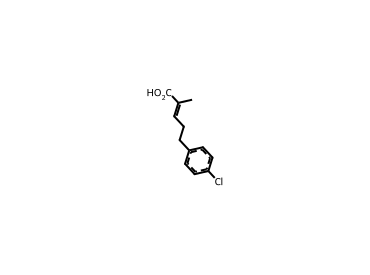 CC(=CCCc1ccc(Cl)cc1)C(=O)O